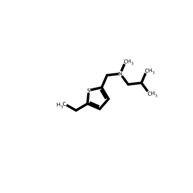 CCc1ccc(CN(C)CC(C)C)s1